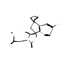 CC(C)(C)OC(=O)CN1C(=O)OC2(CC3(CC3)c3cc(N)ccc32)C1=O